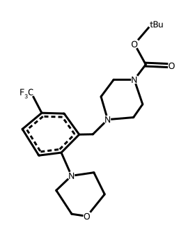 CC(C)(C)OC(=O)N1CCN(Cc2cc(C(F)(F)F)ccc2N2CCOCC2)CC1